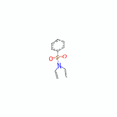 C=CN(C=C)S(=O)(=O)c1ccccc1